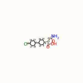 NC(=O)SC(C(=O)O)c1ccc(-c2ccc(Cl)cc2)cc1